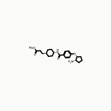 COC(=O)CC[C@H]1CC[C@H](NC(=O)c2ccc(O[C@@H]3CCC[C@@H]3N)cc2)CC1